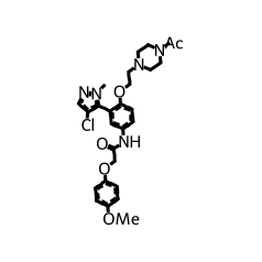 COc1ccc(OCC(=O)Nc2ccc(OCCN3CCN(C(C)=O)CC3)c(-c3c(Cl)cnn3C)c2)cc1